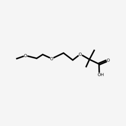 COCCOCCOC(C)(C)C(=O)O